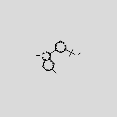 COC(C)(C)c1cc(-c2nn(C)c3ccc(N)cc23)ccn1